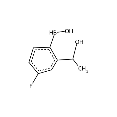 CC(O)c1cc(F)ccc1BO